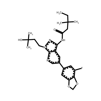 CCC(C)(C)CC(=O)Nc1nn(CCC(C)(C)O)c2ncc(-c3cc(F)c4c(c3)OCO4)cc12